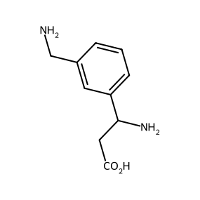 NCc1cccc(C(N)CC(=O)O)c1